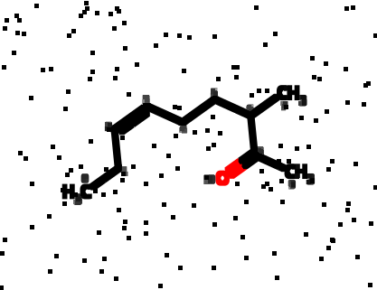 CC/C=C\CCC(C)C(C)=O